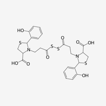 O=C(CCN1C(C(=O)O)CSC1c1ccccc1O)SSC(=O)CCN1C(C(=O)O)CSC1c1ccccc1O